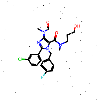 CN(CCCO)C(=O)c1c(N(C)C=O)nc(-c2cccc(Cl)c2)n1Cc1ccc(F)cc1